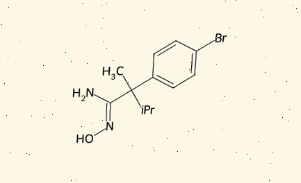 CC(C)C(C)(/C(N)=N/O)c1ccc(Br)cc1